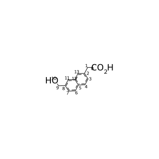 O=C(O)Cc1ccc2ccc(CO)cc2c1